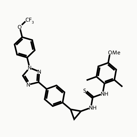 COc1cc(C)c(NC(=S)NC2CC2c2ccc(-c3ncn(-c4ccc(OC(F)(F)F)cc4)n3)cc2)c(C)c1